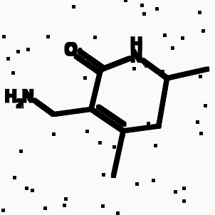 CC1=C(CN)C(=O)NC(C)C1